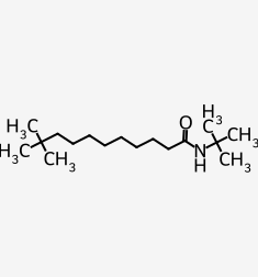 CC(C)(C)CCCCCCCCC(=O)NC(C)(C)C